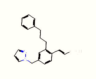 O=C(O)C=Cc1ccc(Cn2cccn2)cc1CCCc1ccccc1